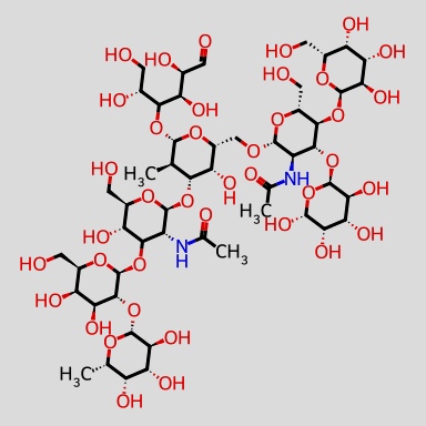 CC(=O)N[C@H]1[C@H](OC[C@H]2O[C@@H](OC([C@H](O)CO)[C@H](O)[C@@H](O)C=O)[C@H](C)[C@@H](O[C@@H]3O[C@H](CO)[C@@H](O)C(O[C@@H]4O[C@H](CO)[C@H](O)[C@H](O)[C@H]4O[C@H]4O[C@@H](C)[C@@H](O)[C@@H](O)[C@@H]4O)[C@H]3NC(C)=O)[C@H]2O)O[C@H](CO)[C@@H](O[C@H]2O[C@H](CO)[C@H](O)[C@H](O)[C@H]2O)[C@@H]1O[C@@H]1O[C@@H](O)[C@@H](O)[C@@H](O)[C@@H]1O